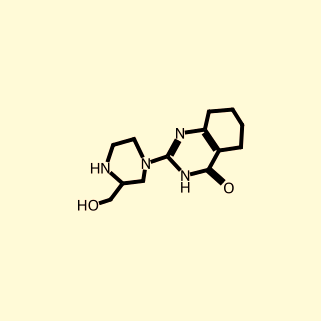 O=c1[nH]c(N2CCNC(CO)C2)nc2c1CCCC2